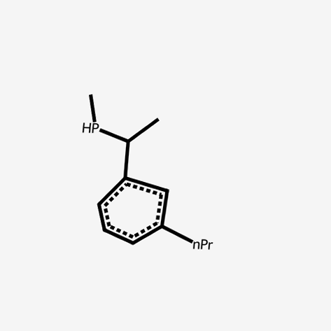 CCCc1cccc(C(C)PC)c1